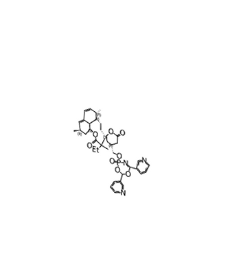 CCC(C)(C)C(=O)O[C@H]1C[C@@H](C)C=C2C=C[C@H](C)[C@H](CC[C@H]3C[C@@H](COP4(=O)N=C(c5cccnc5)OC(c5cccnc5)O4)CC(=O)O3)C21